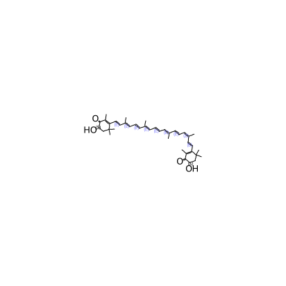 CC1=C(/C=C/C(C)=C\C=C\C(C)=C\C=C\C=C(C)\C=C\C=C(C)\C=C\C2=C(C)C(=O)[C@@H](O)CC2(C)C)C(C)(C)C[C@H](O)C1=O